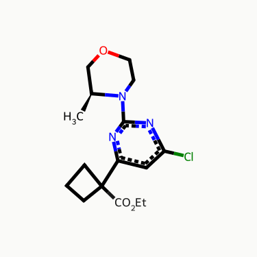 CCOC(=O)C1(c2cc(Cl)nc(N3CCOC[C@@H]3C)n2)CCC1